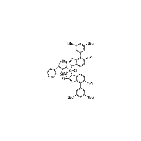 CCCc1ccc2c(c1-c1cc(C(C)(C)C)cc(C(C)(C)C)c1)C=C(CC)[CH]2[Zr]([Cl])([Cl])([c]1cccc2c1[SiH2]c1ccccc1-2)[CH]1C(CC)=Cc2c1ccc(CCC)c2-c1cc(C(C)(C)C)cc(C(C)(C)C)c1